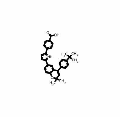 CC1(C)C=C(c2ccc(C(C)(C)C)cc2)c2cc(-c3ccc(-c4ccc(C(=O)O)cc4)[nH]3)ccc2O1